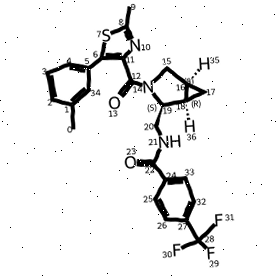 Cc1cccc(-c2sc(C)nc2C(=O)N2C[C@H]3C[C@H]3[C@H]2CNC(=O)c2ccc(C(F)(F)F)cc2)c1